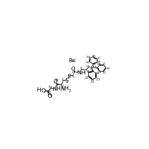 NC(CSSCC(=O)NCCC[P+](c1ccccc1)(c1ccccc1)c1ccccc1)C(=O)NCC(=O)O.[Br-]